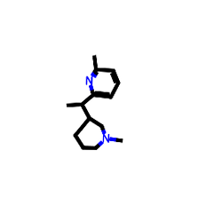 Cc1cccc(C(C)C2CCCN(C)C2)n1